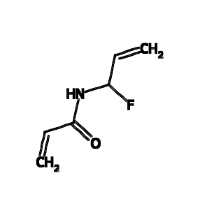 C=CC(=O)NC(F)C=C